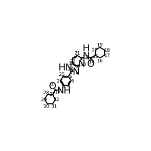 O=C(Nc1ccc(-c2nc3nc(NC(=O)C4CCCCC4)ccc3[nH]2)cc1)C1CCCCC1